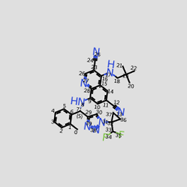 Cc1ccccc1[C@H](Nc1cc(C#N)cc2c(NCC(C)(C)C)c(C#N)cnc12)c1cn(C2(C(F)F)CC2)nn1